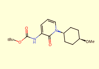 CO[C@H]1CC[C@@H](n2cccc(NC(=O)OC(C)(C)C)c2=O)CC1